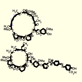 C=CC[C@@H]1/C=C(\C)C[C@H](C)C[C@H](OC)[C@H]2O[C@@](O)(C(=O)C(=O)N3CCCC[C@H]3C(=O)O[C@H](/C(C)=C/[C@@H]3CC[C@@H](O)[C@H](OC)C3)[C@H](C)[C@@H](O)CC1=O)[C@H](C)C[C@@H]2OC.CO[C@H]1C[C@@H]2CC[C@@H](C)[C@@](O)(O2)C(=O)C(=O)N2CCCC[C@H]2C(=O)O[C@H]([C@H](C)C[C@@H]2CC[C@@H](O)[C@H](OC)C2)CC(=O)[C@H](C)/C=C(\C)[C@@H](O)[C@@H](OC)C(=O)[C@H](C)C[C@H](C)/C=C/C=C/C=C/1C.O=C(O)c1cc(N=Nc2ccc(S(=O)(=O)Nc3ccccn3)cc2)ccc1O